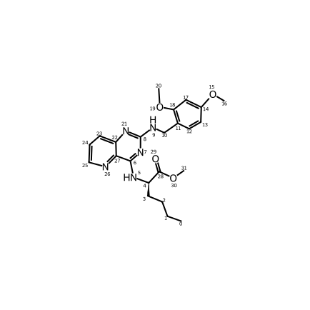 CCCC[C@@H](Nc1nc(NCc2ccc(OC)cc2OC)nc2cccnc12)C(=O)OC